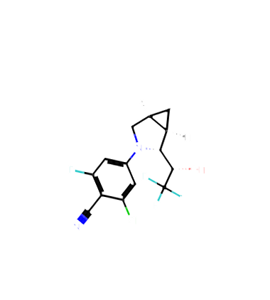 N#Cc1c(F)cc(N2C[C@H]3C[C@H]3[C@@H]2[C@H](O)C(F)(F)F)cc1Cl